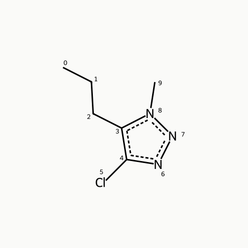 CCCc1c(Cl)nnn1C